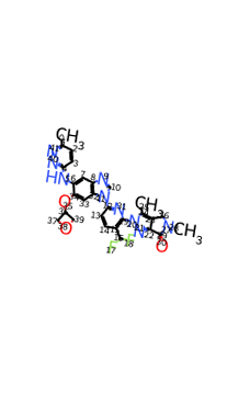 Cc1ccc(Nc2cc3ncn(-c4ccc(C(F)F)c(-n5nc6c(c5C)CN(C)C6=O)n4)c3cc2OC2COC2)nn1